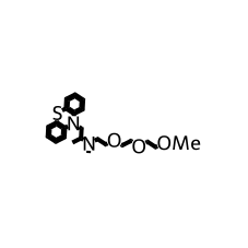 COCCOCCOCCN(C)C(C)CN1c2ccccc2Sc2ccccc21